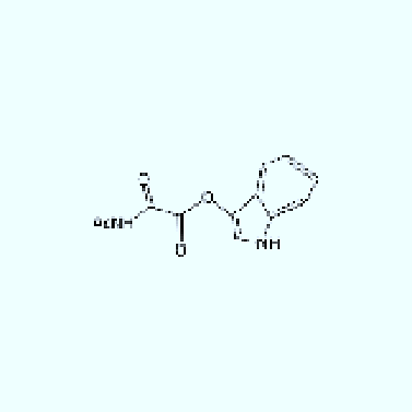 CC(=O)NC(=O)C(=O)Oc1c[nH]c2ccccc12